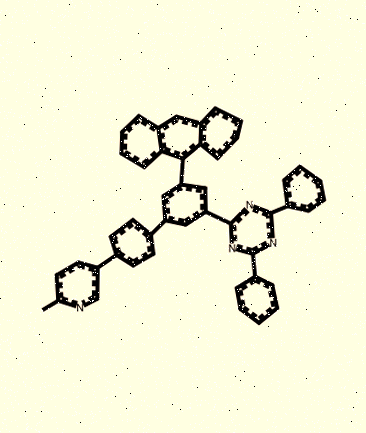 Cc1ccc(-c2ccc(-c3cc(-c4nc(-c5ccccc5)nc(-c5ccccc5)n4)cc(-c4c5ccccc5cc5ccccc45)c3)cc2)cn1